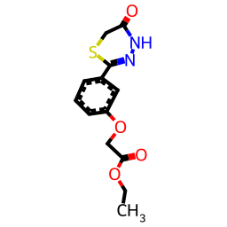 CCOC(=O)COc1cccc(C2=NNC(=O)CS2)c1